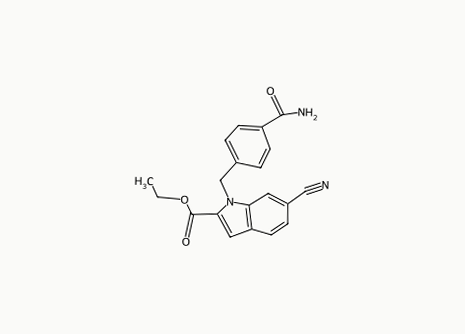 CCOC(=O)c1cc2ccc(C#N)cc2n1Cc1ccc(C(N)=O)cc1